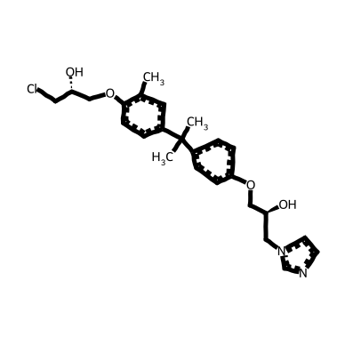 Cc1cc(C(C)(C)c2ccc(OC[C@@H](O)Cn3ccnc3)cc2)ccc1OC[C@@H](O)CCl